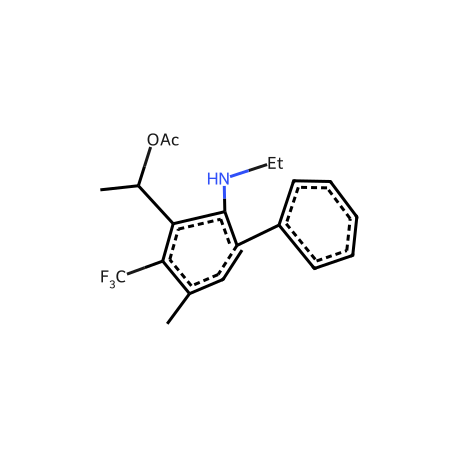 CCNc1c(-c2ccccc2)cc(C)c(C(F)(F)F)c1C(C)OC(C)=O